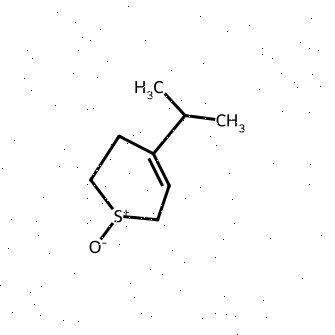 CC(C)C1=CC[S+]([O-])CC1